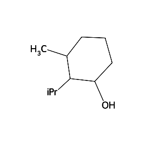 CC(C)C1C(C)CCCC1O